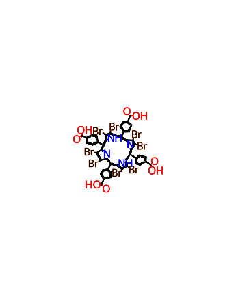 O=C(O)c1ccc(-c2c3nc(c(-c4ccc(C(=O)O)cc4)c4[nH]c(c(Br)c4Br)c(-c4ccc(C(=O)O)cc4)c4nc(c(-c5ccc(C(=O)O)cc5)c5[nH]c2c(Br)c5Br)C(Br)=C4Br)C(Br)=C3Br)cc1